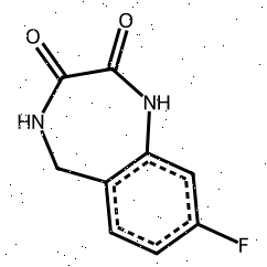 O=C1NCc2ccc(F)cc2NC1=O